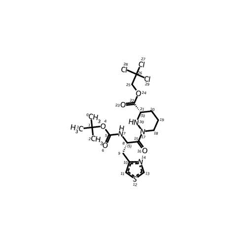 CC(C)(C)OC(=O)N[C@@H](Cc1cscn1)C(=O)N1CCC[C@@H](C(=O)OCC(Cl)(Cl)Cl)N1